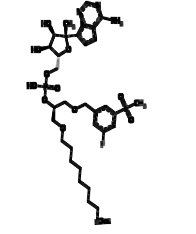 CCCCCCCCCCCCCCCCCCOC[C@H](COCc1cc(F)cc(S(C)(=O)=O)c1)OP(=O)(O)OC[C@H]1O[C@@](C)(c2ccc3c(N)ncnn23)[C@H](O)[C@@H]1O